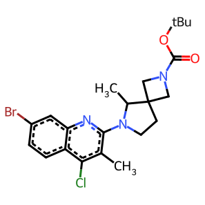 Cc1c(N2CCC3(CN(C(=O)OC(C)(C)C)C3)C2C)nc2cc(Br)ccc2c1Cl